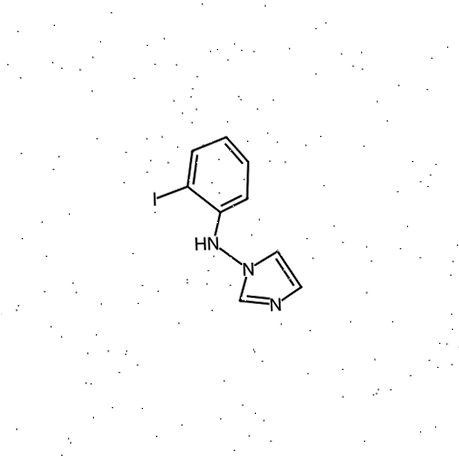 Ic1ccccc1Nn1ccnc1